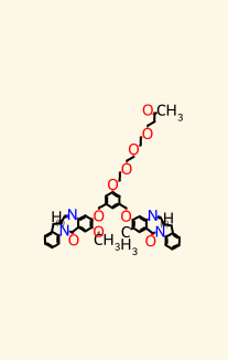 COc1cc2c(cc1OCc1cc(COc3cc4c(cc3C)C(=O)N3c5ccccc5C[C@H]3C=N4)cc(OCCOCCOCCOCCC(C)=O)c1)N=C[C@@H]1Cc3ccccc3N1C2=O